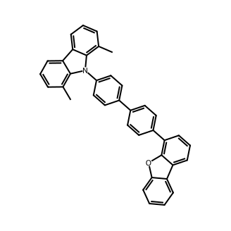 Cc1cccc2c3cccc(C)c3n(-c3ccc(-c4ccc(-c5cccc6c5oc5ccccc56)cc4)cc3)c12